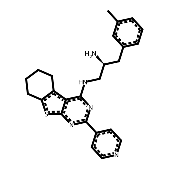 Cc1cccc(C[C@H](N)CNc2nc(-c3ccncc3)nc3sc4c(c23)CCCC4)c1